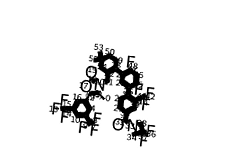 C[C@H]1[C@@H](c2cc(C(F)(F)F)cc(C(F)(F)F)c2)OC(=O)N1CC1=C(c2cc(-c3ccc(C(=O)N4CC(F)(F)C4)cc3C(F)(F)F)ccc2F)CCC(C)(C)C1